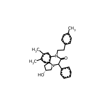 Cc1ccc(CCN(C(=O)C(c2ccccc2)N2CC[C@@H](O)C2)c2ccc(C)c(C)c2)cc1